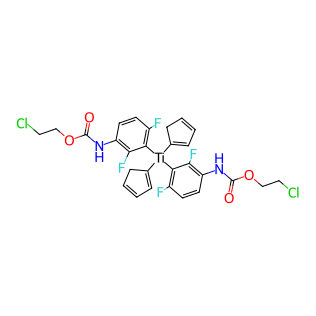 O=C(Nc1ccc(F)[c]([Ti]([C]2=CC=CC2)([C]2=CC=CC2)[c]2c(F)ccc(NC(=O)OCCCl)c2F)c1F)OCCCl